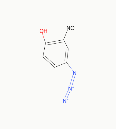 [N-]=[N+]=Nc1ccc(O)c(N=O)c1